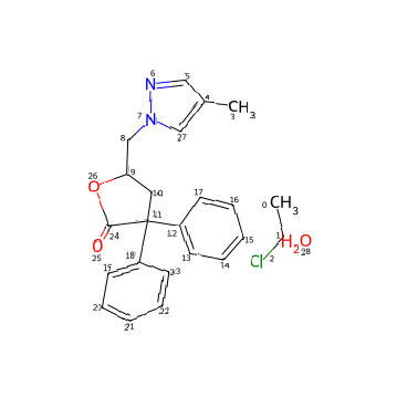 CCCl.Cc1cnn(CC2CC(c3ccccc3)(c3ccccc3)C(=O)O2)c1.O